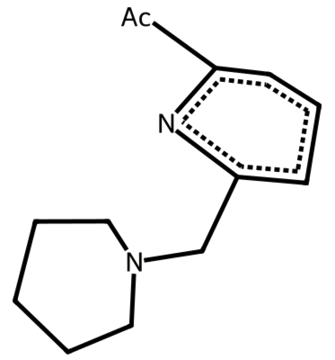 CC(=O)c1cccc(CN2CCCCC2)n1